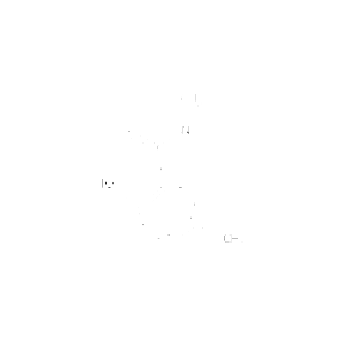 CNC(=O)c1cc(C)ccc1O